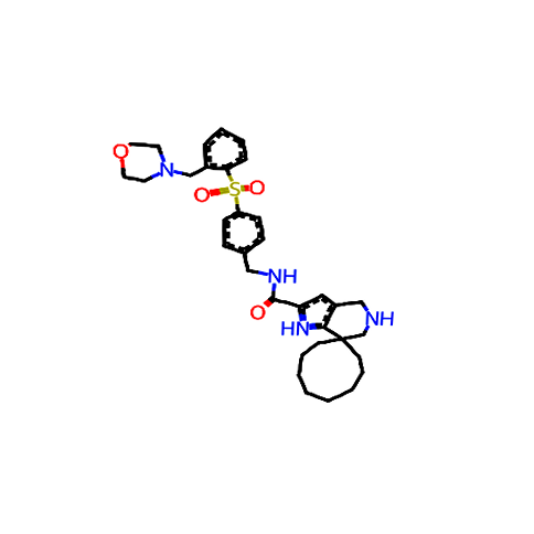 O=C(NCc1ccc(S(=O)(=O)c2ccccc2CN2CCOCC2)cc1)c1cc2c([nH]1)C1(CCCCCCCC1)CNC2